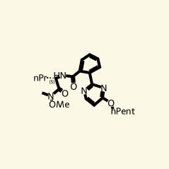 CCCCCOc1ccnc(-c2ccccc2C(=O)N[C@@H](CCC)C(=O)N(C)OC)n1